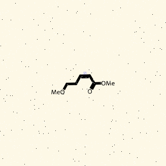 COCC/C=C\C(=O)OC